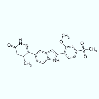 COc1cc(S(C)(=O)=O)ccc1-c1cc2cc(C3=NNC(=O)CC3C)ccc2[nH]1